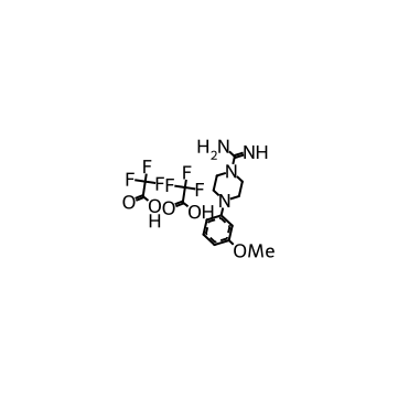 COc1cccc(N2CCN(C(=N)N)CC2)c1.O=C(O)C(F)(F)F.O=C(O)C(F)(F)F